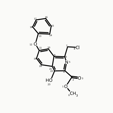 COC(=O)c1nc(CCl)c2cc(Oc3ccccc3)ccc2c1O